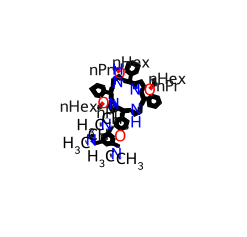 CCCCCCC(CCC)Oc1ccccc1-c1c2nc(c(-c3ccccc3OC(CCC)CCCCCC)c3ccc([nH]3)c(-c3ccccc3OC(CCC)CCCCCC)c3nc(c(-c4ccc(Oc5c(CN(C)C)cc(CN(C)C)cc5CN(C)C)cc4)c4ccc1[nH]4)C=C3)C=C2